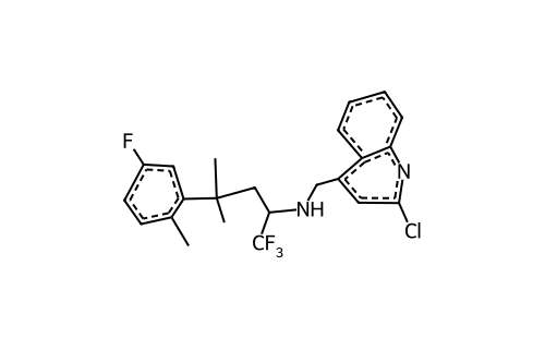 Cc1ccc(F)cc1C(C)(C)CC(NCc1cc(Cl)nc2ccccc12)C(F)(F)F